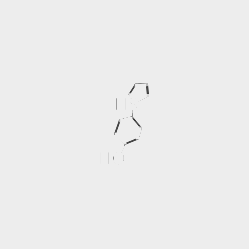 Oc1ccc([SH]2C=CC=C2)cc1